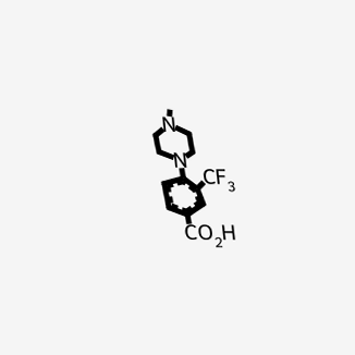 CN1CCN(c2ccc(C(=O)O)cc2C(F)(F)F)CC1